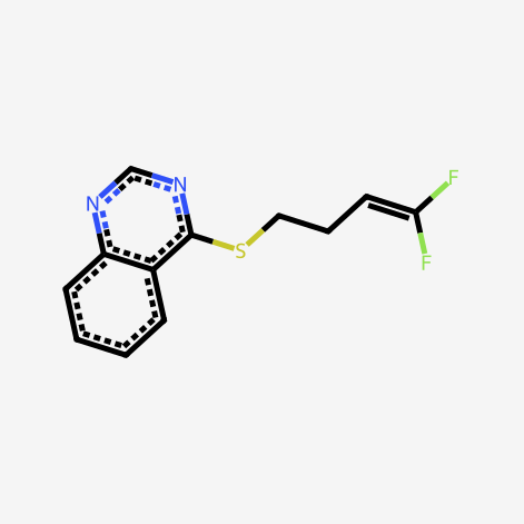 FC(F)=CCCSc1ncnc2ccccc12